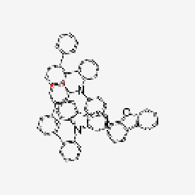 c1ccc(-c2ccccc2-c2ccccc2N(c2ccc(-c3cccc4c3oc3ccccc34)cc2)c2cccc(-c3cccc(-c4ccccc4-n4c5ccccc5c5ccccc54)c3)c2)cc1